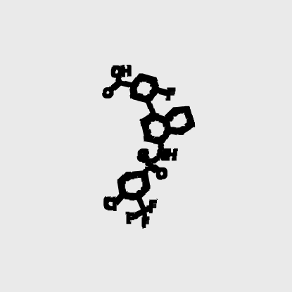 O=C(O)c1ccc(F)c(-c2ccc(NS(=O)(=O)c3ccc(Cl)c(C(F)(F)F)c3)c3ccccc23)c1